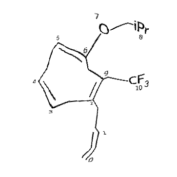 C=Cc1cccc(OC(C)C)c1C(F)(F)F